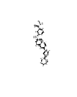 CNC(=O)c1cccc(Nc2ncc3cc(-c4cnn(C5CCCCO5)c4)ccc3n2)c1